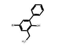 CCc1cc(Br)cc(-c2ccccc2)c1O